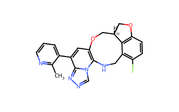 Cc1ncccc1-c1cc2c(n3cnnc13)NCc1c(F)ccc3c1[C@@H](CO3)CO2